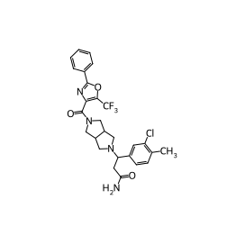 Cc1ccc(C(CC(N)=O)N2CC3CN(C(=O)c4nc(-c5ccccc5)oc4C(F)(F)F)CC3C2)cc1Cl